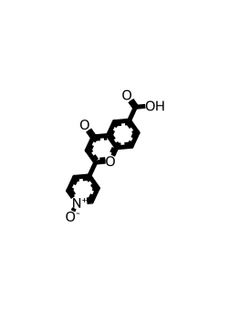 O=C(O)c1ccc2oc(-c3cc[n+]([O-])cc3)cc(=O)c2c1